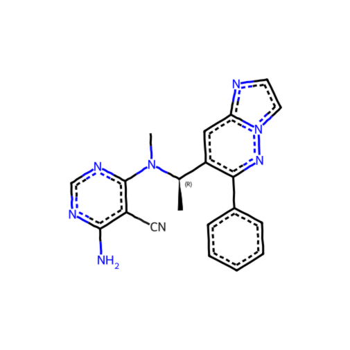 C[C@H](c1cc2nccn2nc1-c1ccccc1)N(C)c1ncnc(N)c1C#N